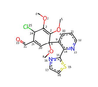 COC1=C(OC)C(OC)(c2cccnc2-c2nccs2)C=C(C=O)C1Cl